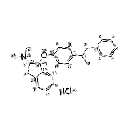 CC(Cc1ccccc1)c1ccc(O[C@@H]2c3ccccc3C[C@@H]2N(C)C)cc1.Cl